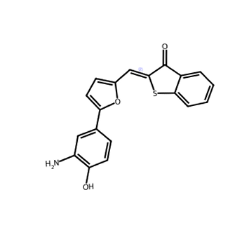 Nc1cc(-c2ccc(/C=C3\Sc4ccccc4C3=O)o2)ccc1O